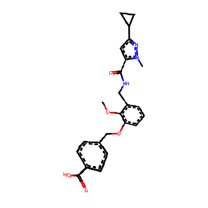 COc1c(CNC(=O)c2cc(C3CC3)nn2C)cccc1OCc1ccc(C(=O)O)cc1